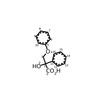 O=C(O)C(O)(COc1ccccc1)c1ccccc1